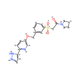 O=C(CS(=O)(=O)c1cccc(COc2ccc(-c3ccn[nH]3)nc2)c1)N1CCCC1